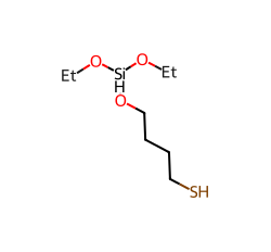 CCO[SiH](OCC)OCCCCS